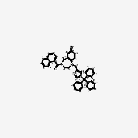 O=C(c1cccc2ccccc12)N1CCN(Cc2cn(C(c3ccccc3)(c3ccccc3)c3ccccc3)cn2)c2ccc(Br)cc2C1